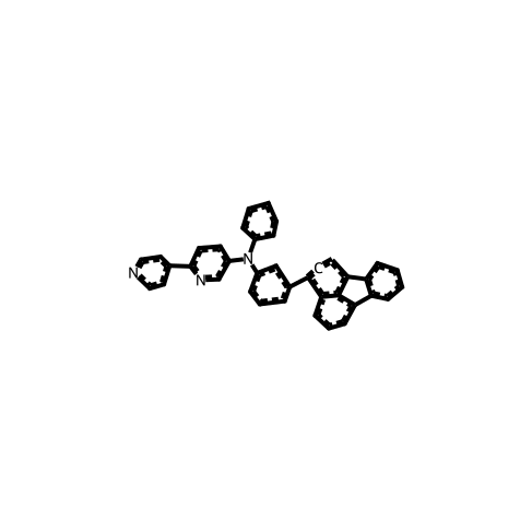 c1ccc(N(c2ccc(-c3ccncc3)nc2)c2cccc(-c3ccc4c5c(cccc35)-c3ccccc3-4)c2)cc1